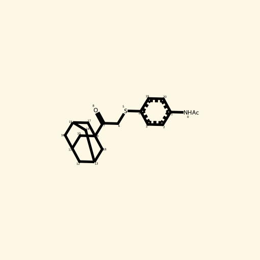 CC(=O)Nc1ccc(SCC(=O)C23CC4CC(CC(C4)C2)C3)cc1